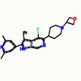 Cc1cc(-c2[nH]c3cnc(C4CCN(C5COC5)CC4)c(F)c3c2C(C)C)cc(C)n1